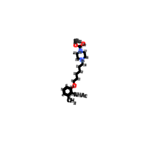 CC(=O)Nc1c(C)cccc1OCCCCCCN1CCN(C(=O)OC(C)(C)C)CC1